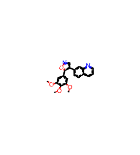 COc1cc(-c2oncc2-c2ccc3cccnc3c2)cc(OC)c1OC